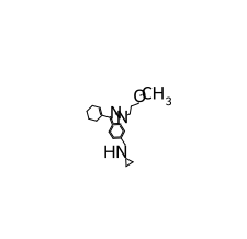 COCCCn1nc(C2=CCCCC2)c2ccc(CNC3CC3)cc21